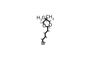 CC1(C)COC(CCCCBr)OC1